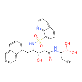 CC(C)C[C@H](NC(=O)C[C@H](O)C(Cc1cccc2ccccc12)NS(=O)(=O)c1cccc2cccnc12)B(O)O